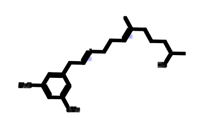 COc1cc(C/C=I/CC/C=C(\C)CCCI(C)O)cc(OC)c1